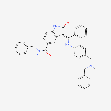 CN(Cc1ccccc1)Cc1ccc(NC(=C2C(=O)Nc3ccc(C(=O)N(C)Cc4ccccc4)cc32)c2ccccc2)cc1